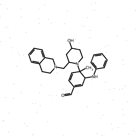 CC1(N2CCC(O)CC2CN2CCc3ccccc3C2)C=CC(C=O)=CC1Nc1ccccc1